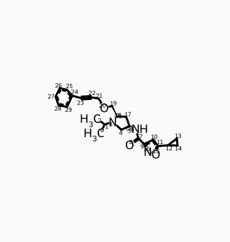 CC(C)N1C[C@@H](NC(=O)c2cc(C3CC3)on2)C[C@@H]1COCC#Cc1ccccc1